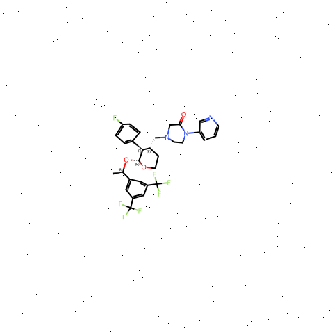 C[C@@H](O[C@H]1OCC[C@@H](CN2CCN(c3cccnc3)C(=O)C2)[C@@H]1c1ccc(F)cc1)c1cc(C(F)(F)F)cc(C(F)(F)F)c1